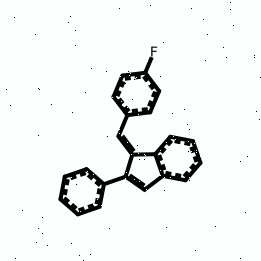 Fc1ccc(C=C2C(c3ccccc3)=Cc3ccccc32)cc1